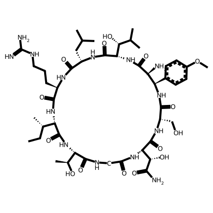 CC[C@H](C)[C@@H]1NC(=O)[C@@H](CCCNC(=N)N)NC(=O)[C@H](CC(C)C)NC(=O)[C@H]([C@H](O)C(C)C)NC(=O)[C@@H](N)[C@@H](c2ccc(OC)cc2)NC(=O)[C@H](CO)NC(=O)[C@H]([C@H](O)C(N)=O)NC(=O)CNC(=O)[C@H]([C@H](C)O)NC1=O